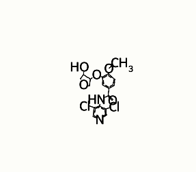 COc1ccc(C(=O)Nc2c(Cl)cncc2Cl)cc1OC1COCC1O